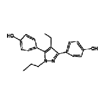 CCCn1nc(-c2ccc(O)cc2)c(CC)c1-c1ccc(O)cc1